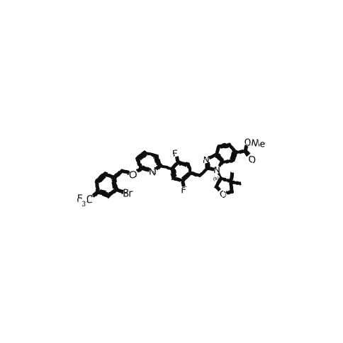 COC(=O)c1ccc2nc(Cc3cc(F)c(-c4cccc(OCc5ccc(C(F)(F)F)cc5Br)n4)cc3F)n([C@@H]3COCC3(C)C)c2c1